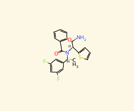 C[C@H](c1cc(F)cc(F)c1)N(C(=O)c1ccccc1)[C@@H](C(N)=O)c1cccs1